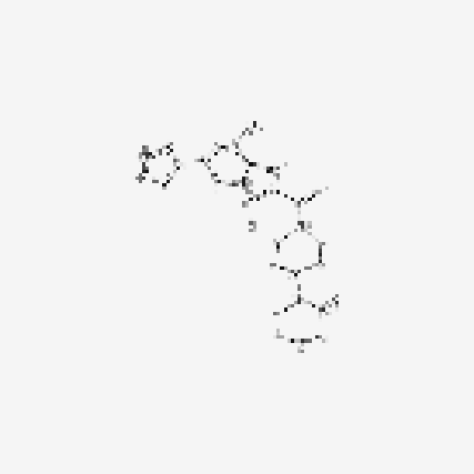 O=C(c1nc2c(C(F)(F)F)cc(-c3cn[nH]c3)cn2c1Cl)N1CCC(N2CCOCC2=O)CC1